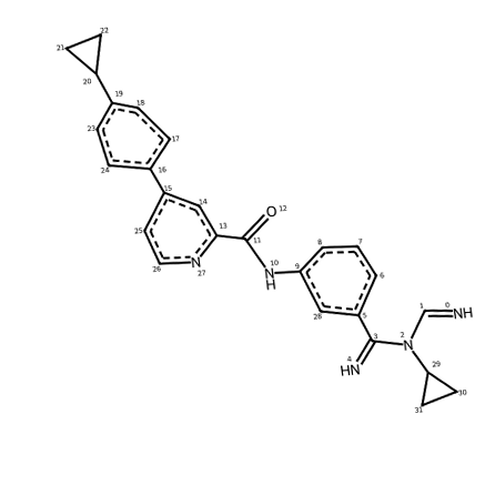 N=CN(C(=N)c1cccc(NC(=O)c2cc(-c3ccc(C4CC4)cc3)ccn2)c1)C1CC1